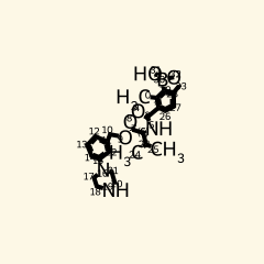 Cc1c(C(=O)N[C@H](C(=O)OCc2cccc(N3CCNCC3)c2)C(C)C)ccc2c1B(O)OC2